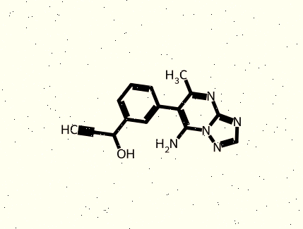 C#CC(O)c1cccc(-c2c(C)nc3ncnn3c2N)c1